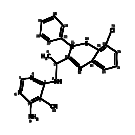 CC(Nc1ncnc(N)c1C#N)C1=Nc2cccc(Cl)c2SN1c1ccccc1